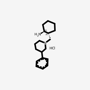 Cl.N[C@H]1CCCC[C@@H]1CN1CCCC(c2ccccc2)C1